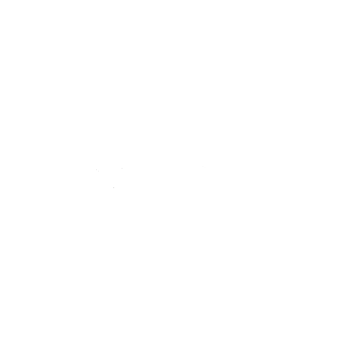 c1ccc(-c2nc(-c3ccccc3)nc(-c3cccc4c5cc(-n6c7ccccc7c7c8sc9ccccc9c8ccc76)ccc5c5ccccc5c34)n2)cc1